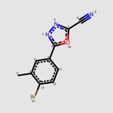 Cc1cc(-c2nnc(C#N)o2)ccc1Br